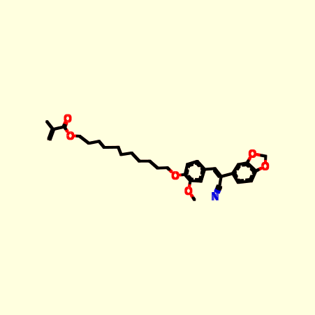 C=C(C)C(=O)OCCCCCCCCCCCOc1ccc(C=C(C#N)c2ccc3c(c2)OCO3)cc1OC